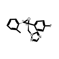 Cc1ccccc1[C@@H]1O[C@]1(Cn1cncn1)c1ccc(F)cc1